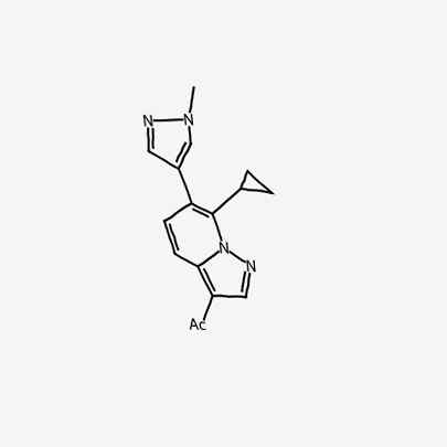 CC(=O)c1cnn2c(C3CC3)c(-c3cnn(C)c3)ccc12